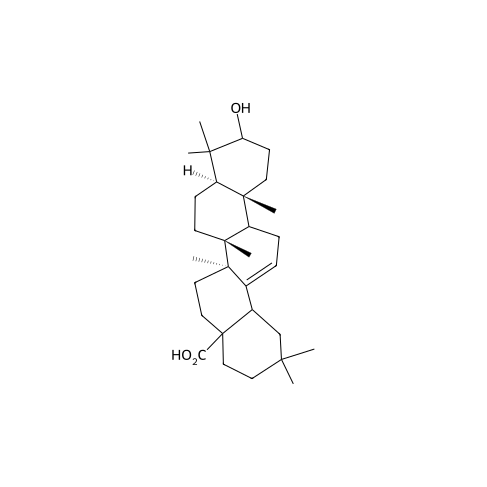 CC1(C)CCC2(C(=O)O)CC[C@]3(C)C(=CCC4[C@@]5(C)CCC(O)C(C)(C)[C@@H]5CC[C@]43C)C2C1